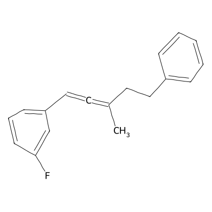 CC(=C=Cc1cccc(F)c1)CCc1ccccc1